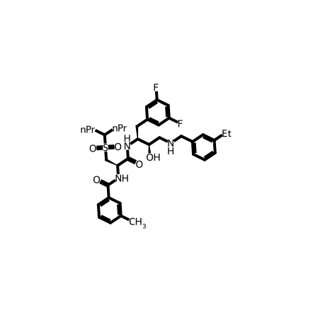 CCCC(CCC)S(=O)(=O)C[C@H](NC(=O)c1cccc(C)c1)C(=O)N[C@@H](Cc1cc(F)cc(F)c1)[C@H](O)CNCc1cccc(CC)c1